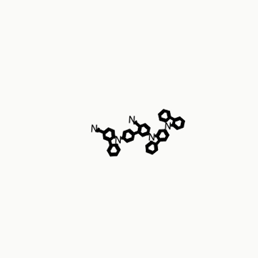 N#Cc1ccc2c(c1)c1ccccc1n2-c1ccc(-c2cc(-n3c4ccccc4c4ccc(-n5c6ccccc6c6ccccc65)cc43)ccc2C#N)cc1